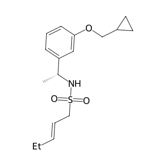 CC/C=C/CS(=O)(=O)N[C@H](C)c1cccc(OCC2CC2)c1